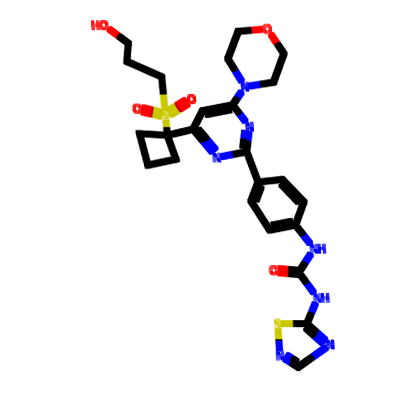 O=C(Nc1ccc(-c2nc(N3CCOCC3)cc(C3(S(=O)(=O)CCCO)CCC3)n2)cc1)Nc1ncns1